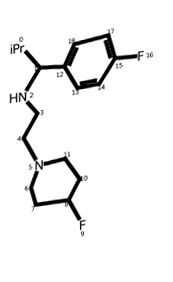 CC(C)C(NCCN1CCC(F)CC1)c1ccc(F)cc1